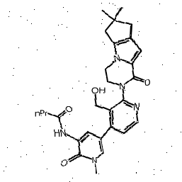 CCCC(=O)Nc1cc(-c2ccnc(N3CCn4c(cc5c4CC(C)(C)C5)C3=O)c2CO)cn(C)c1=O